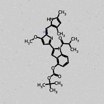 COC1=CC(c2cc3c(OC(=O)OC(C)(C)C)cccc3n2C(=O)C(C)C)=N/C1=C\c1[nH]c(C)cc1C